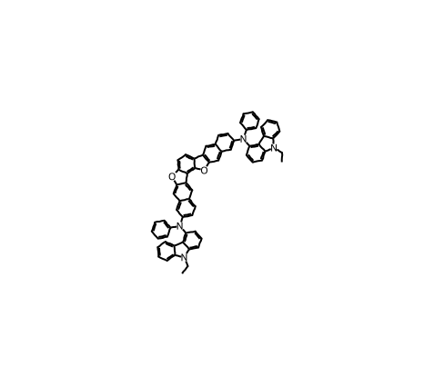 CCn1c2ccccc2c2c(N(c3ccccc3)c3ccc4cc5c(cc4c3)oc3c5ccc4oc5cc6cc(N(c7ccccc7)c7cccc8c7c7ccccc7n8CC)ccc6cc5c43)cccc21